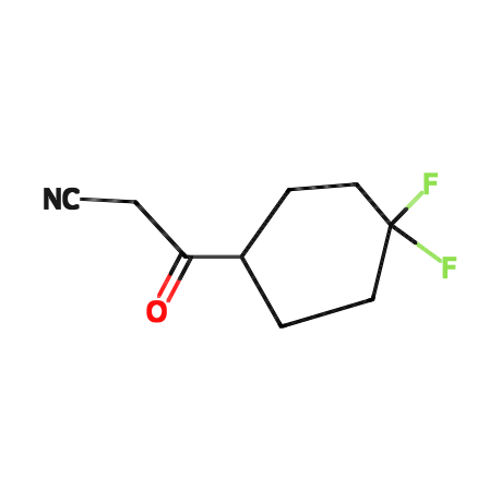 N#CCC(=O)C1CCC(F)(F)CC1